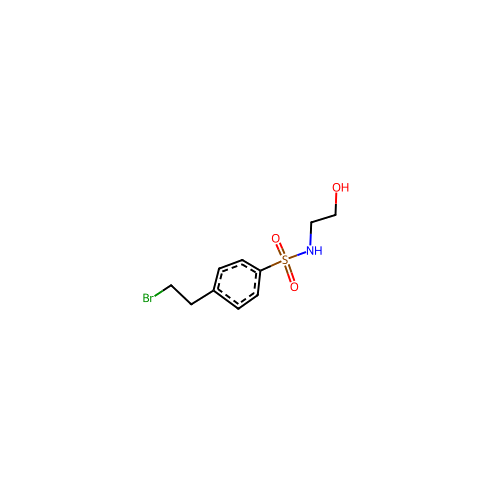 O=S(=O)(NCCO)c1ccc(CCBr)cc1